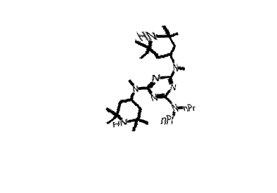 CCCN(CCC)c1nc(N(C)C2CC(C)(C)NC(C)(C)C2)nc(N(C)C2CC(C)(C)NC(C)(C)C2)n1